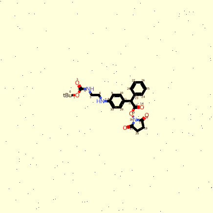 CC(C)(C)OC(=O)NCCNc1ccc(C(C(=O)ON2C(=O)CCC2=O)c2ccccc2)cc1